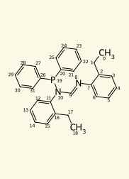 CCc1ccccc1/N=C/N(c1ccccc1CC)P(c1ccccc1)c1ccccc1